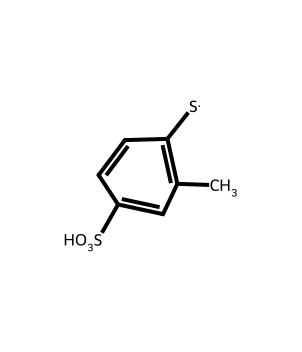 Cc1cc(S(=O)(=O)O)ccc1[S]